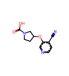 N#Cc1ccncc1OC1CCN(C(=O)O)C1